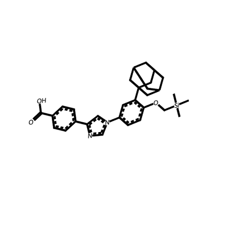 C[Si](C)(C)COc1ccc(-n2cnc(-c3ccc(C(=O)O)cc3)c2)cc1C12CC3CC(CC(C3)C1)C2